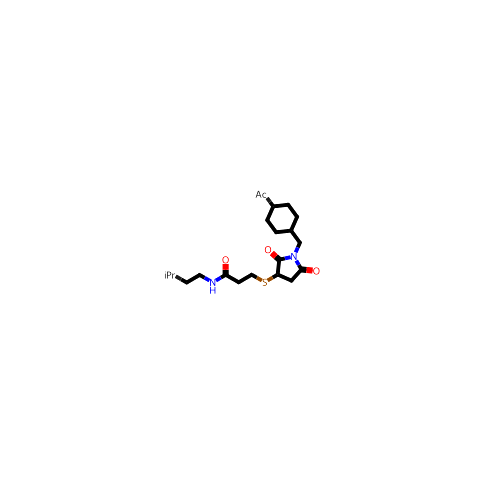 CC(=O)C1CCC(CN2C(=O)CC(SCCC(=O)NCCC(C)C)C2=O)CC1